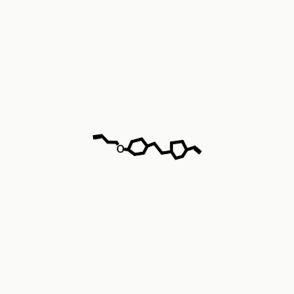 C=CCCOC1CCC(CCC2CCC(C=C)CC2)CC1